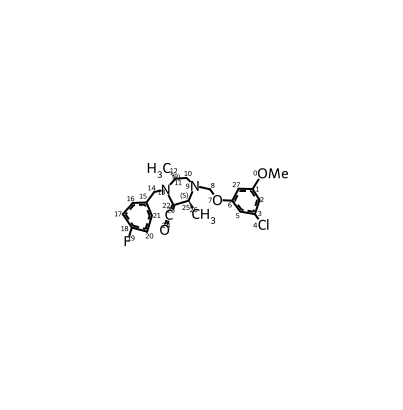 COc1cc(Cl)cc(OCN2C[C@@H](C)N(Cc3ccc(F)cc3)C(=C=O)[C@@H]2C)c1